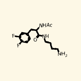 CC(=O)NC(Cc1ccc(F)c(F)c1)C(=O)NCCCCN